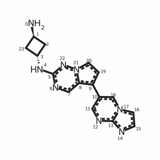 N[C@H]1C[C@H](Nc2ncc3c(-c4cnc5nccn5c4)ccn3n2)C1